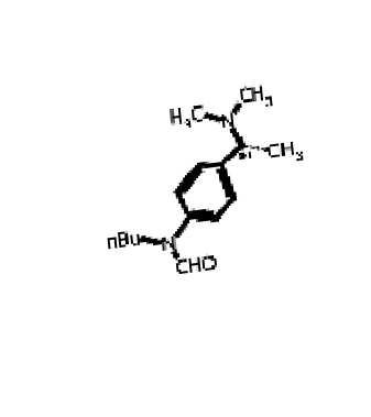 CCCCN(C=O)c1ccc([C@@H](C)N(C)C)cc1